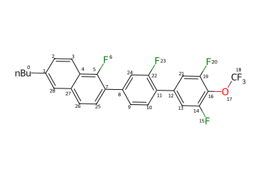 CCCCc1ccc2c(F)c(-c3ccc(-c4cc(F)c(OC(F)(F)F)c(F)c4)c(F)c3)ccc2c1